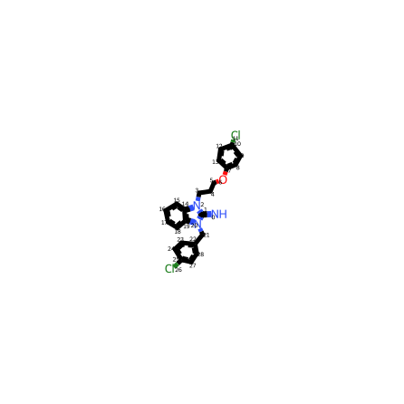 N=c1n(CCCOc2ccc(Cl)cc2)c2ccccc2n1Cc1ccc(Cl)cc1